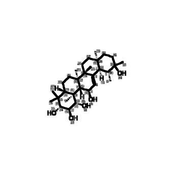 C[C@@H]1[C@H]2C3=C[C@@H](O)[C@@H]4[C@@]5(C)[C@H](O)[C@@H](O)[C@H](O)C(C)(C)[C@@H]5CC[C@@]4(C)[C@]3(C)CC[C@@]2(C)CC[C@]1(C)O